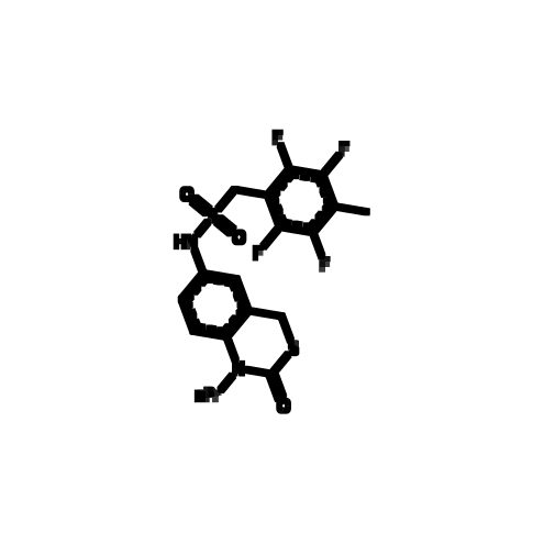 CCCN1C(=O)SCc2cc(NS(=O)(=O)Cc3c(F)c(F)c(C)c(F)c3F)ccc21